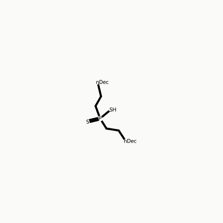 CCCCCCCCCCCCP(=S)(S)CCCCCCCCCCCC